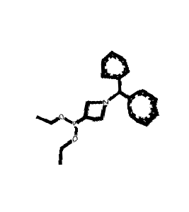 CCOP(OCC)C1CN(C(c2ccccc2)c2ccccc2)C1